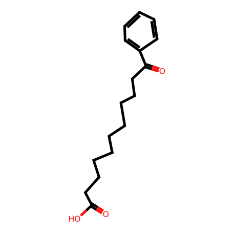 O=C(O)CCCCCCCCCC(=O)c1ccccc1